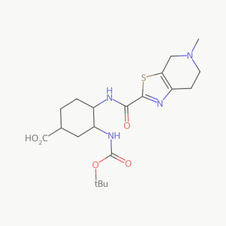 CN1CCc2nc(C(=O)NC3CCC(C(=O)O)CC3NC(=O)OC(C)(C)C)sc2C1